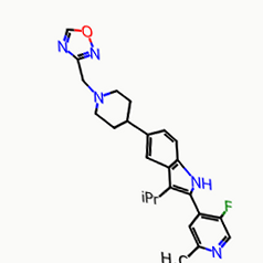 Cc1cc(-c2[nH]c3ccc(C4CCN(Cc5ncon5)CC4)cc3c2C(C)C)c(F)cn1